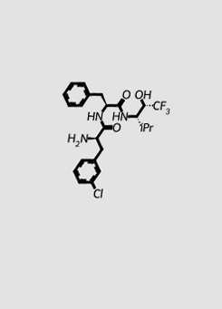 CC(C)[C@H](NC(=O)[C@H](Cc1ccccc1)NC(=O)[C@H](N)Cc1cccc(Cl)c1)[C@H](O)C(F)(F)F